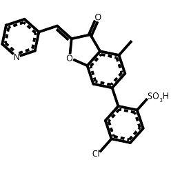 Cc1cc(-c2cc(Cl)ccc2S(=O)(=O)O)cc2c1C(=O)C(=Cc1cccnc1)O2